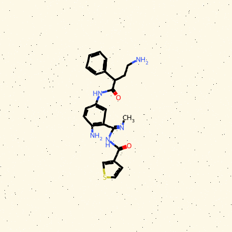 C/N=C(/NC(=O)c1ccsc1)c1cc(NC(=O)C(CCN)c2ccccc2)ccc1N